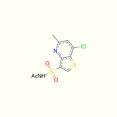 CC(=O)NS(=O)(=O)c1csc2c(Cl)cc(C)nc12